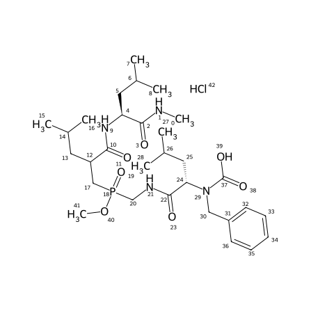 CNC(=O)[C@H](CC(C)C)NC(=O)C(CC(C)C)CP(=O)(CNC(=O)[C@H](CC(C)C)N(Cc1ccccc1)C(=O)O)OC.Cl